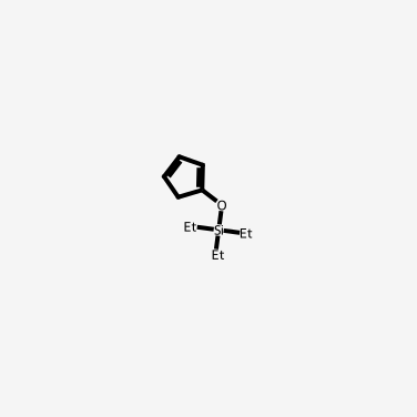 CC[Si](CC)(CC)OC1=CC=CC1